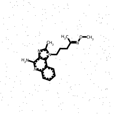 CO/N=C(\C)CCCn1c(C)nc2c(N)nc3ccccc3c21